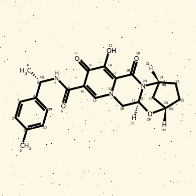 Cc1ccc([C@H](C)NC(=O)c2cn3c(c(O)c2=O)C(=O)N2[C@@H]4CC[C@@H](C4)O[C@H]2C3)cc1